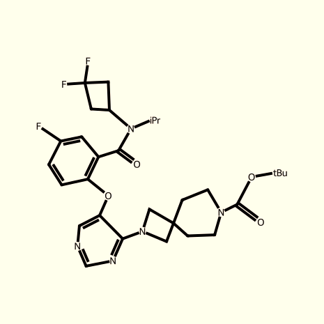 CC(C)N(C(=O)c1cc(F)ccc1Oc1cncnc1N1CC2(CCN(C(=O)OC(C)(C)C)CC2)C1)C1CC(F)(F)C1